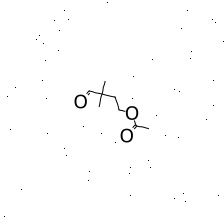 CC(=O)OCCC(C)(C)C=O